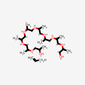 C=CC(=O)O.CC(O)COC(C)COC(C)COC(C)COC(C)COC(C)COC(C)COC(C)CO